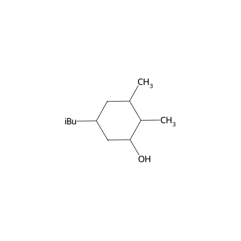 CCC(C)C1CC(C)C(C)C(O)C1